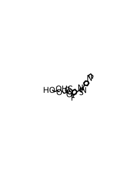 O=Cc1cc(-c2nc(-c3ccc(N4CCCC4)cc3)ns2)cc(F)c1OC(=O)CCOCCO